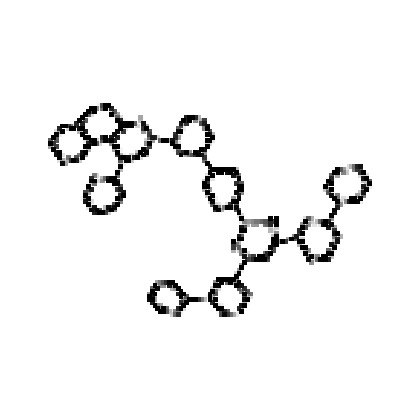 c1ccc(-c2cccc(-c3cc(-c4cccc(-c5ccccc5)c4)nc(-c4ccc(-c5cccc(-c6cc(-c7ccccc7)c7c(ccc8ccccc87)n6)c5)cc4)n3)c2)cc1